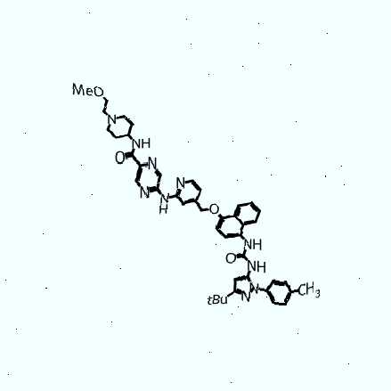 COCCN1CCC(NC(=O)c2cnc(Nc3cc(COc4ccc(NC(=O)Nc5cc(C(C)(C)C)nn5-c5ccc(C)cc5)c5ccccc45)ccn3)cn2)CC1